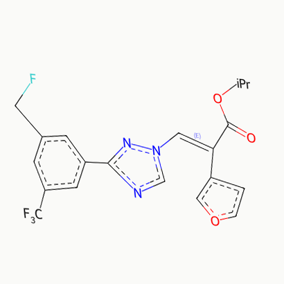 CC(C)OC(=O)/C(=C/n1cnc(-c2cc(CF)cc(C(F)(F)F)c2)n1)c1ccoc1